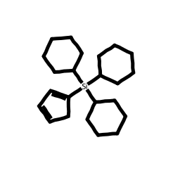 C1=CCC([Si](C2CCCCC2)(C2CCCCC2)C2CCCCC2)=C1